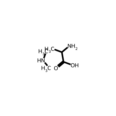 CC(N)C(=O)O.CNC